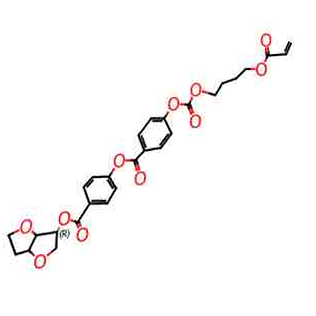 C=CC(=O)OCCCCOC(=O)Oc1ccc(C(=O)Oc2ccc(C(=O)O[C@@H]3COC4CCOC43)cc2)cc1